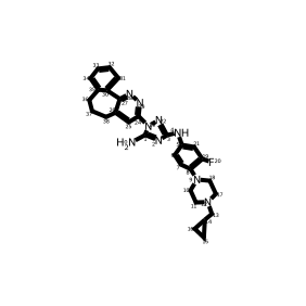 Nc1nc(Nc2ccc(N3CCN(CC4CC4)CC3)c(F)c2)nn1-c1cc2c(nn1)-c1ccccc1CCC2